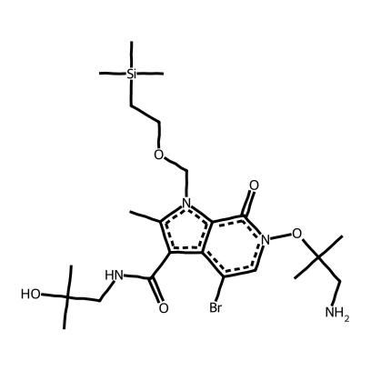 Cc1c(C(=O)NCC(C)(C)O)c2c(Br)cn(OC(C)(C)CN)c(=O)c2n1COCC[Si](C)(C)C